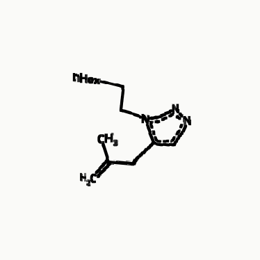 C=C(C)Cc1cnnn1CCCCCCCC